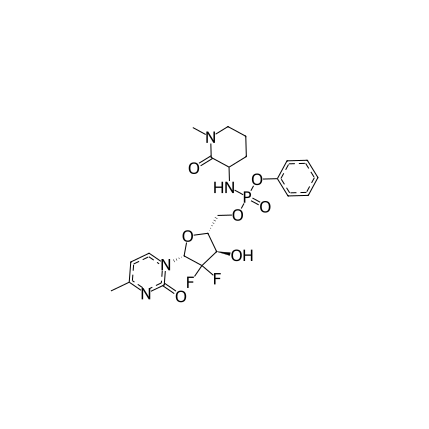 Cc1ccn([C@@H]2O[C@H](COP(=O)(NC3CCCN(C)C3=O)Oc3ccccc3)[C@@H](O)C2(F)F)c(=O)n1